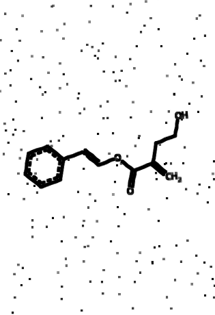 C=C(CCO)C(=O)OC=Cc1ccccc1